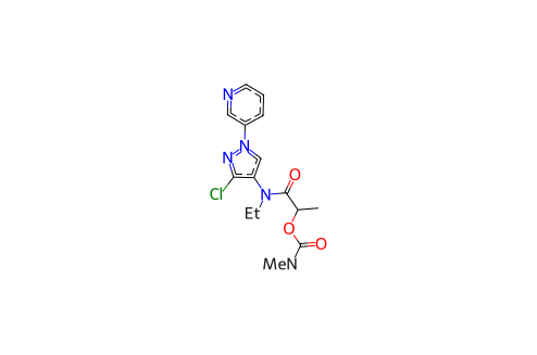 CCN(C(=O)C(C)OC(=O)NC)c1cn(-c2cccnc2)nc1Cl